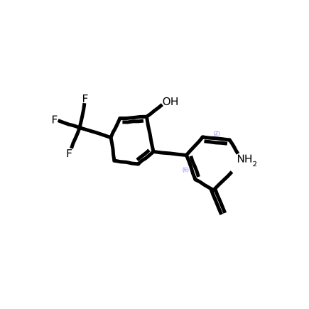 C=C(C)/C=C(\C=C/N)C1=CCC(C(F)(F)F)C=C1O